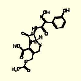 CC(=O)OCC1=C(C(=O)O)N2C(=O)[C@@H](NC(=O)C(=NO)c3cccc(O)c3)[C@H]2SC1